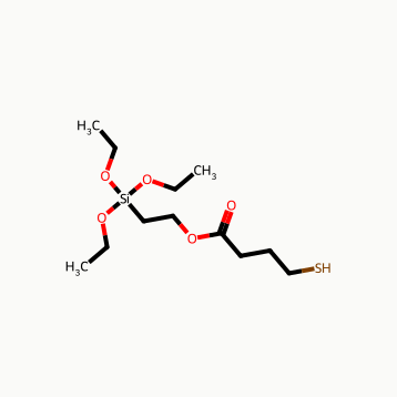 CCO[Si](CCOC(=O)CCCS)(OCC)OCC